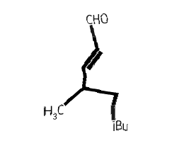 CCC(C)CC(C)/C=C/C=O